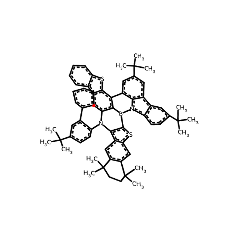 CC(C)(C)c1ccc(N2c3cc4c(sc5ccccc54)c4c3B(c3sc5cc6c(cc5c32)C(C)(C)CCC6(C)C)n2c3ccc(C(C)(C)C)cc3c3cc(C(C)(C)C)cc-4c32)c(-c2ccccc2)c1